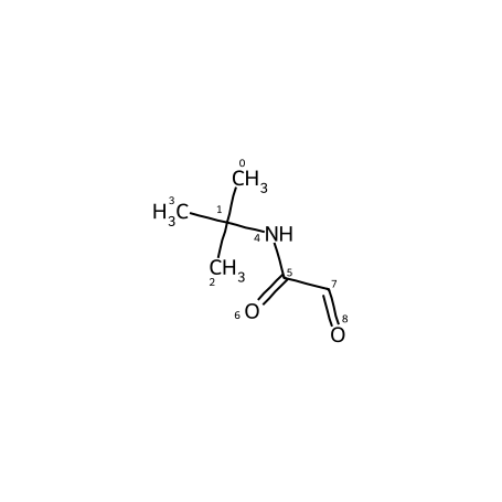 CC(C)(C)NC(=O)C=O